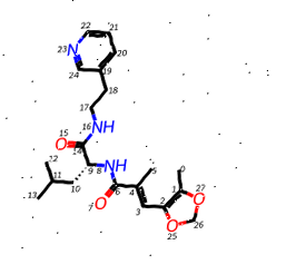 CC1=C(/C=C(\C)C(=O)N[C@H](CC(C)C)C(=O)NCCc2cccnc2)OCO1